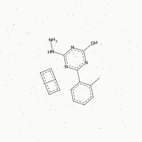 Cc1ccccc1-c1nc(O)nc(NN)n1.c1cc2ccc1-2